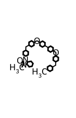 Cc1ccc(Cc2ccc(Oc3ccc(-c4ccc(Oc5ccc(Cc6ccc(-n7c(=O)n(C)c8ccccc87)cc6)cc5)cc4)cc3)cc2)cc1